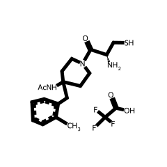 CC(=O)NC1(Cc2ccccc2C)CCN(C(=O)[C@@H](N)CS)CC1.O=C(O)C(F)(F)F